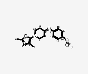 Cc1nc(C)c(N2CCC(Oc3ccc(OC(F)(F)F)cc3)CC2)o1